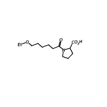 CCOCCCCCC(=O)N1CCCC1C(=O)O